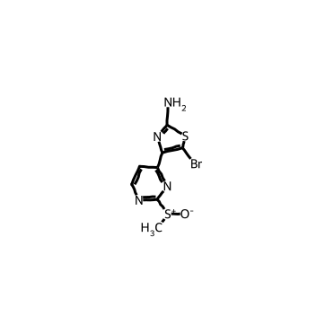 C[S+]([O-])c1nccc(-c2nc(N)sc2Br)n1